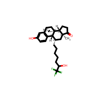 C=C[C@@]12CCc3cc(O)ccc3[C@H]1[C@@H](CCCCCC(O)C(F)(F)F)C[C@]1(C)C(=O)CC[C@@H]21